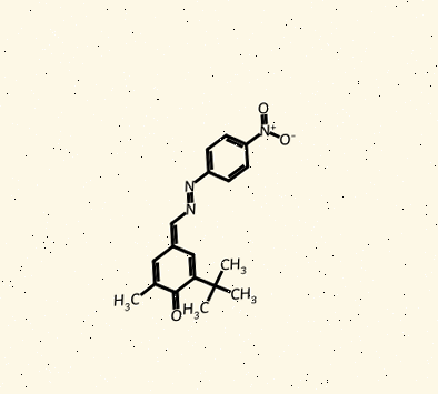 CC1=CC(=CN=Nc2ccc([N+](=O)[O-])cc2)C=C(C(C)(C)C)C1=O